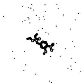 CCOP(=O)(CC)Cc1ccc([N+](=O)[O-])c(OC)c1